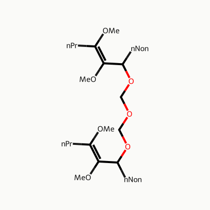 CCCCCCCCCC(OCOCOC(CCCCCCCCC)C(OC)=C(CCC)OC)C(OC)=C(CCC)OC